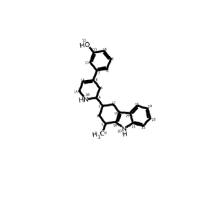 CC1CC(C2CC(c3cccc(O)c3)=CCN2)Cc2c1[nH]c1ccccc21